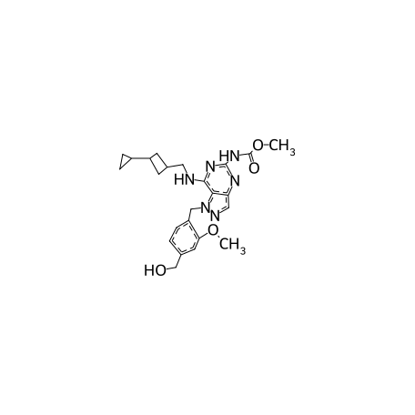 COC(=O)Nc1nc(NCC2CC(C3CC3)C2)c2c(cnn2Cc2ccc(CO)cc2OC)n1